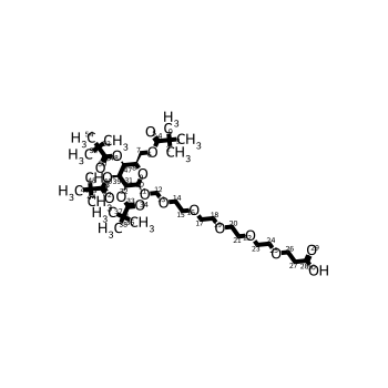 CC(C)(C)C(=O)OC[C@H]1O[C@H](OCOCCOCCOCCOCCOCCC(=O)O)[C@H](OC(=O)C(C)(C)C)[C@@H](OC(=O)C(C)(C)C)[C@@H]1OC(=O)C(C)(C)C